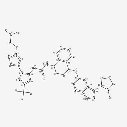 CN(C)CCn1cc(-n2nc(C(C)(C)C)cc2NC(=O)NC2CCC(Oc3ccc4nnc([C@@H]5CCCN5C)n4c3)c3ccccc32)cn1